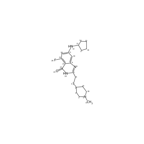 CN1CCC(SCc2nc3cc(NC4CCCC4)cc(F)c3c(=O)[nH]2)CC1